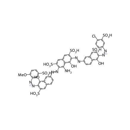 COc1ccc(S(=O)(=O)O)cc1/N=N\c1c(S(=O)(=O)O)cc2ccc(N=Nc3c(S(=O)(=O)O)cc4cc(S(=O)(=O)O)c(N=Nc5ccc6c(O)c(/N=N\c7ccc(Cl)c(S(=O)(=O)O)c7)c(S(=O)(=O)O)cc6c5)c(O)c4c3N)cc2c1O